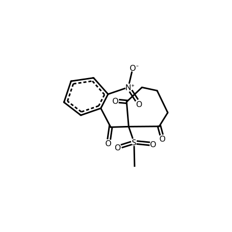 CS(=O)(=O)C1(C(=O)c2ccccc2[N+](=O)[O-])C(=O)CCCC1=O